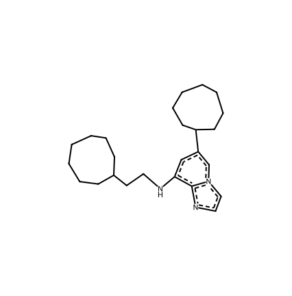 c1cn2cc(C3CCCCCCC3)cc(NCCC3CCCCCCC3)c2n1